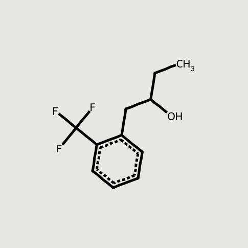 CCC(O)Cc1ccccc1C(F)(F)F